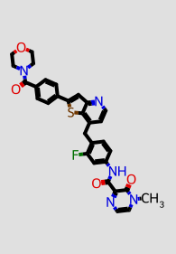 Cn1ccnc(C(=O)Nc2ccc(Cc3ccnc4cc(-c5ccc(C(=O)N6CCOCC6)cc5)sc34)c(F)c2)c1=O